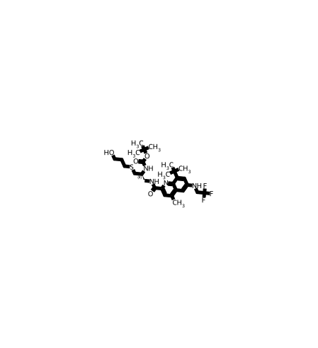 Cc1cc(C(=O)NC[C@H](CSCCCO)NC(=O)OC(C)(C)C)nc2c(C(C)(C)C)cc(NCC(F)(F)F)cc12